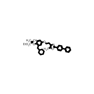 CCOC(=O)C(C)(C)Oc1ccc(OCCc2nc(-c3ccc(-c4ccccc4)cc3)oc2C)cc1CC1CCCCC1